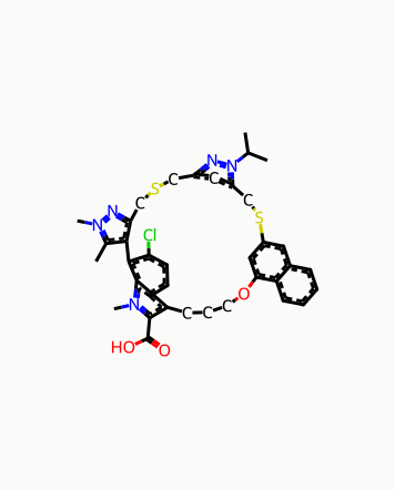 Cc1c2c(nn1C)CSCc1cc(n(C(C)C)n1)CSc1cc(c3ccccc3c1)OCCCc1c(C(=O)O)n(C)c3c-2c(Cl)ccc13